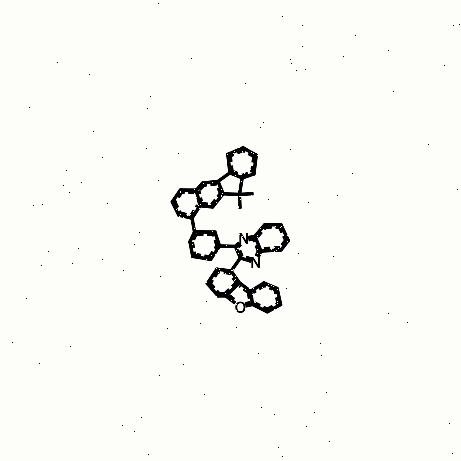 CC1(C)c2ccccc2-c2cc3cccc(-c4cccc(-c5nc6ccccc6nc5-c5cccc6oc7ccccc7c56)c4)c3cc21